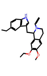 C=CN1CCc2cc(OC)c(OCC)cc2C1Cc1c[nH]c2ccc(CC)cc12